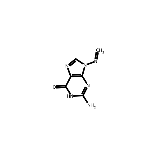 C=Nn1cnc2c(=O)[nH]c(N)nc21